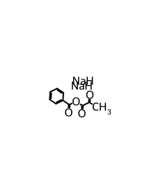 CC(=O)C(=O)OC(=O)c1ccccc1.[NaH].[NaH]